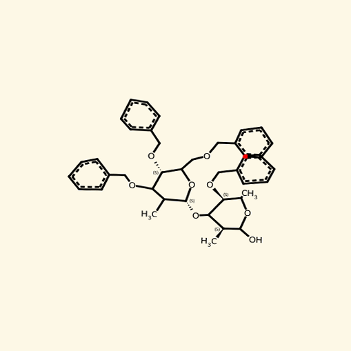 CC1C(OCc2ccccc2)[C@H](OCc2ccccc2)C(COCc2ccccc2)O[C@@H]1OC1[C@H](C)C(O)OC(C)[C@@H]1OCc1ccccc1